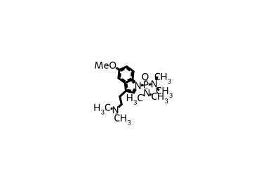 COc1ccc2c(c1)c(CCN(C)C)cn2P(=O)(N(C)C)N(C)C